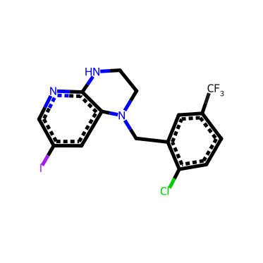 FC(F)(F)c1ccc(Cl)c(CN2CCNc3ncc(I)cc32)c1